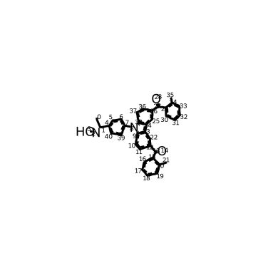 CC(=NO)c1ccc(-n2c3ccc(C(=O)c4ccccc4C)cc3c3cc(C(=O)c4ccccc4C)ccc32)cc1